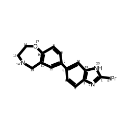 CC(C)c1nc2ccc(-c3ccc4c(c3)C[N]CCO4)cc2[nH]1